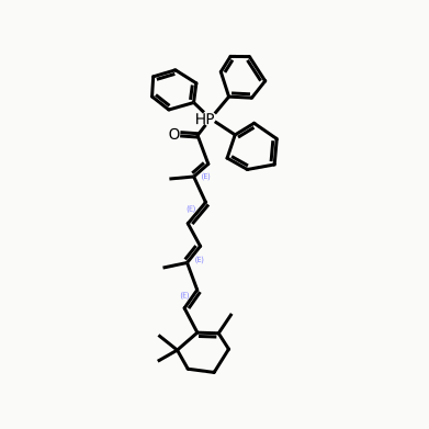 CC1=C(/C=C/C(C)=C/C=C/C(C)=C/C(=O)[PH](c2ccccc2)(c2ccccc2)c2ccccc2)C(C)(C)CCC1